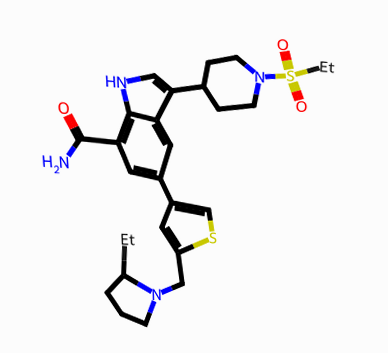 CCC1CCCN1Cc1cc(-c2cc(C(N)=O)c3[nH]cc(C4CCN(S(=O)(=O)CC)CC4)c3c2)cs1